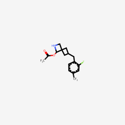 O=C(OC1NCC12CC(Cc1ccc(C(F)(F)F)cc1F)C2)C(F)(F)F